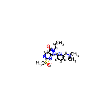 C=CCn1c(=O)c2cnc([S+](C)[O-])nc2n1-c1cccc(CN(C)C)n1